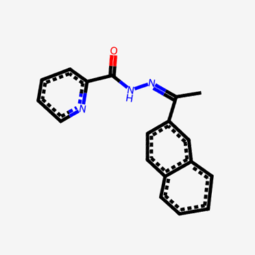 C/C(=N/NC(=O)c1ccccn1)c1ccc2ccccc2c1